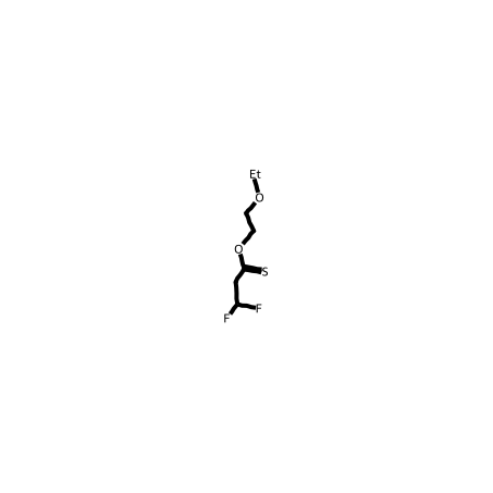 CCOCCOC(=S)CC(F)F